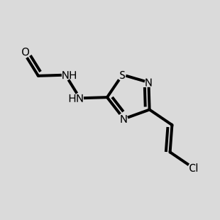 O=CNNc1nc(/C=C/Cl)ns1